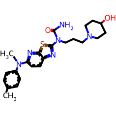 Cc1ccc(N(C)c2ccc3nc(N(CCCN4CCC(O)CC4)C(N)=O)sc3n2)cc1